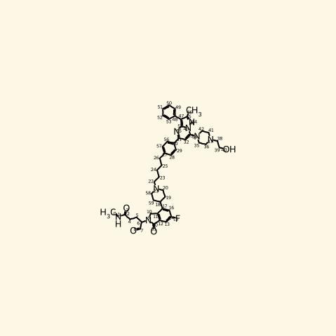 CNC(=O)CCC(C=O)N1Cc2c(cc(F)cc2C2CCN(CCCCCc3ccc(-c4cc(N5CCN(CCO)CC5)n5nc(C)c(-c6ccccc6)c5n4)cc3)CC2)C1=O